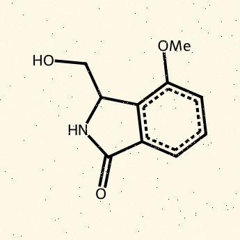 COc1cccc2c1C(CO)NC2=O